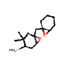 CC1(C)CC2(CC34CCCCC3O4)OC2CC1C(=O)O